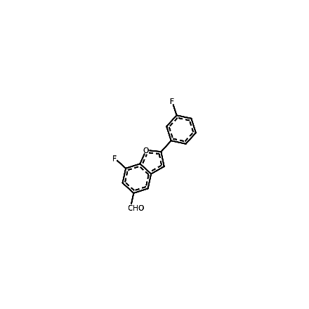 O=Cc1cc(F)c2oc(-c3cccc(F)c3)cc2c1